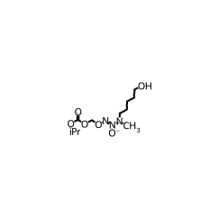 CC(C)OC(=O)OCON=[N+]([O-])N(C)CCCCCO